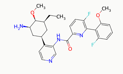 CC[C@H]1C[C@@H](c2ccncc2NC(=O)c2ccc(F)c(-c3c(F)cccc3OC)n2)C[C@@H](N)[C@H]1OC